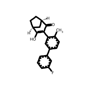 Cc1ccc(-c2cccc(F)c2)cc1C1=C(O)[C@H]2CC[C@H](C2)C1=O